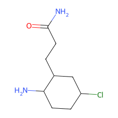 NC(=O)CCC1CC(Cl)CCC1N